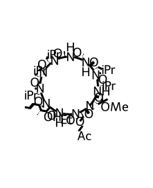 C/C=C/C[C@@H](C)[C@@H](O)[C@H]1C(=O)N[C@@H](CC)C(=O)N(C)[C@H](COCCC(C)=O)C(=O)N(C)[C@@H](CC(C)(C)OC)C(=O)N[C@@H](C(C)C)C(=O)N(C)[C@@H](CC(C)C)C(=O)N[C@@H](C)C(=O)N[C@H](C)C(=O)N(C)[C@@H](CC(C)C)C(=O)N(C)[C@@H](CC(C)C)C(=O)N(C)[C@@H](C(C)C)C(=O)N1C